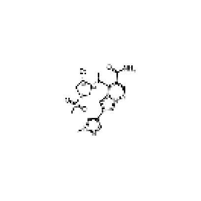 CC[C@H]1CN(S(C)(=O)=O)C[C@H]1Nc1c(C(N)=O)cnn2cc(-c3cnn(C)c3)cc12